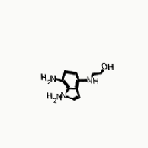 Nc1ccc(NCCO)c2ccn(N)c12